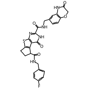 O=C1COc2ccc(CNC(=O)c3nc4sc5c(c4c(=O)[nH]3)C(C(=O)NCc3ccc(F)cc3)CC5)cc2N1